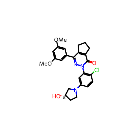 COc1cc(OC)cc(-c2nn(-c3cc(N4CC[C@H](O)C4)ccc3Cl)c(=O)c3c2CCC3)c1